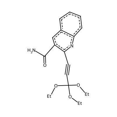 CCOC(C#Cc1nc2ccccc2cc1C(N)=O)(OCC)OCC